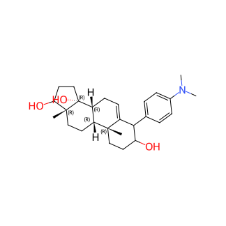 CN(C)c1ccc(C2C3=CC[C@@H]4[C@@H](CC[C@]5(C)C(O)CC[C@@]45O)[C@@]3(C)CCC2O)cc1